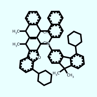 CC1C2=C3C(C)(c4ccccc41)c1c(ccc4ccccc14)N(c1ccc4c(c1)-c1c(C5CCCCC5)cccc1C4(C)C)C3(C)c1oc3c(C4CCCCC4)cccc3c1C2C